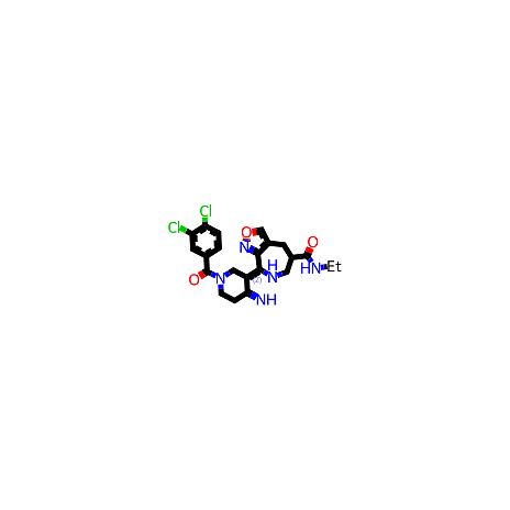 CCNC(=O)C1CN/C(=C2/CN(C(=O)c3ccc(Cl)c(Cl)c3)CCC2=N)c2nocc2C1